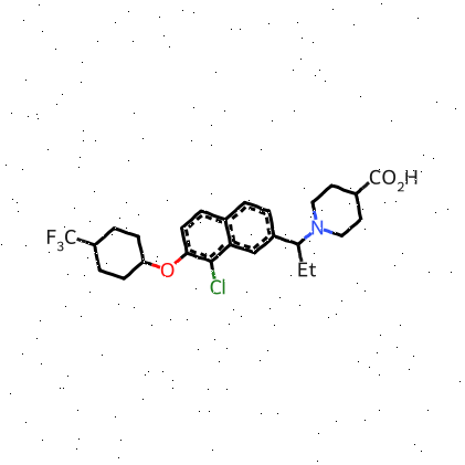 CCC(c1ccc2ccc(OC3CCC(C(F)(F)F)CC3)c(Cl)c2c1)N1CCC(C(=O)O)CC1